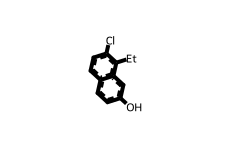 [CH2]Cc1c(Cl)ccc2ccc(O)cc12